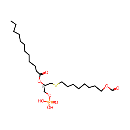 CCCCCCCCCCCC(=O)O[C@H](COP(=O)(O)O)CSCCCCCCCCOC=O